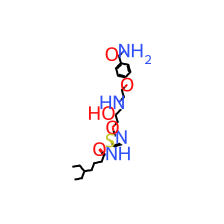 CCC(CC)CCCC(=O)Nc1cnc(OCC(O)CNCCOc2ccc(C(N)=O)cc2)s1